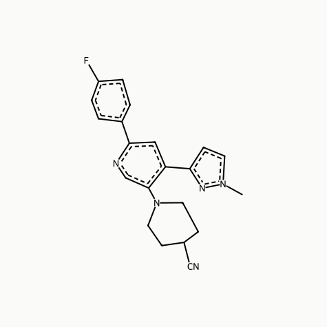 Cn1ccc(-c2cc(-c3ccc(F)cc3)ncc2N2CCC(C#N)CC2)n1